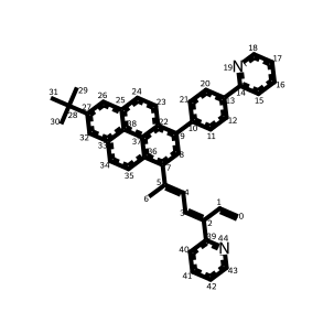 C=C/C(=C\C=C(/C)c1cc(-c2ccc(-c3ccccn3)cc2)c2ccc3cc(C(C)(C)C)cc4ccc1c2c43)c1ccccn1